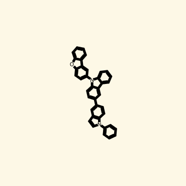 c1ccc(-n2ccc3cc(-c4ccc5c(c4)c4ccccc4n5-c4ccc5oc6ccccc6c5c4)ccc32)cc1